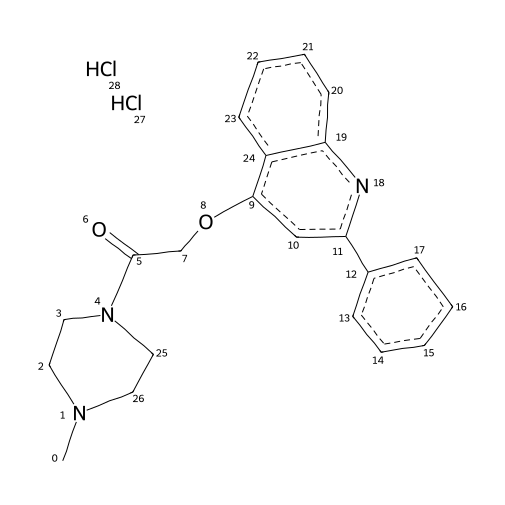 CN1CCN(C(=O)COc2cc(-c3ccccc3)nc3ccccc23)CC1.Cl.Cl